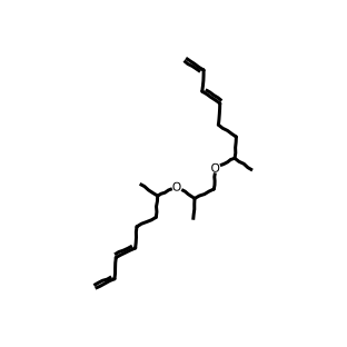 C=CC=CCCC(C)OCC(C)OC(C)CCC=CC=C